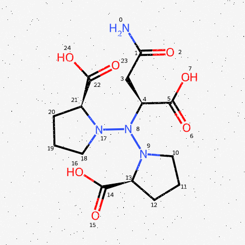 NC(=O)C[C@@H](C(=O)O)N(N1CCC[C@H]1C(=O)O)N1CCC[C@H]1C(=O)O